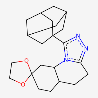 C1COC2(CCC3CCc4nnc(C56CC7CC(CC(C7)C5)C6)n4C3C2)O1